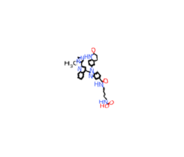 Cn1cncc1-c1cc(-c2nc3cc(C(=O)NCCCCCNC(=O)O)ccc3n2-c2ccc3c(c2)CCC(=O)N3)c2ccccc2n1